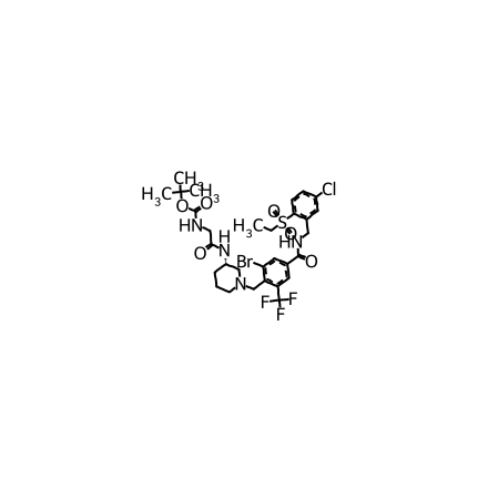 CCS(=O)(=O)c1ccc(Cl)cc1CNC(=O)c1cc(Br)c(CN2CCC[C@H](NC(=O)CNC(=O)OC(C)(C)C)C2)c(C(F)(F)F)c1